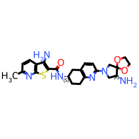 Cc1ccc2c(N)c(C(=O)N[C@H]3CCc4nc(N5C[C@@H](N)C6(C5)OCCO6)ccc4C3)sc2n1